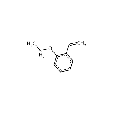 C=Cc1ccccc1O[SiH2]C